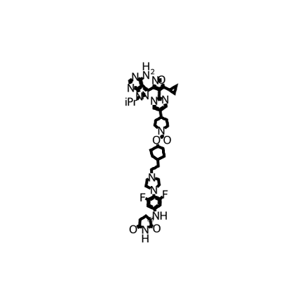 CC(C)n1nc(-c2noc(C3CC3)c2-c2ncc(C3CCN(C(=O)OC4CCC(CCN5CCN(c6c(F)cc(N[C@H]7CCC(=O)NC7=O)cc6F)CC5)CC4)CC3)cn2)c2c(N)ncnc21